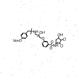 COc1ccc(CC(C)(C)NC[C@@H](O)COc2cccc(S(=O)(=O)NN3CC(O)C(Cl)C3Cl)c2)cc1